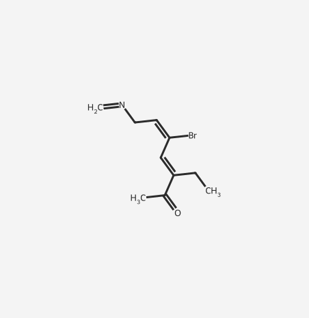 C=NC/C=C(Br)\C=C(/CC)C(C)=O